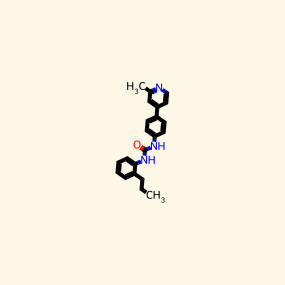 CCCc1ccccc1NC(=O)Nc1ccc(-c2ccnc(C)c2)cc1